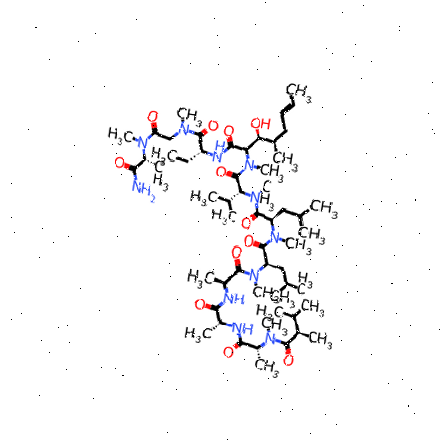 C/C=C/C[C@@H](C)[C@H](O)C(C(=O)N[C@H](CC)C(=O)N(C)CC(=O)N(C)[C@H](C)C(N)=O)N(C)C(=O)[C@@H](C(C)C)N(C)C(=O)[C@@H](CC(C)C)N(C)C(=O)[C@@H](CC(C)C)N(C)C(=O)[C@H](C)NC(=O)[C@@H](C)NC(=O)[C@@H](C)N(C)C(=O)[C@H](C)C(C)C